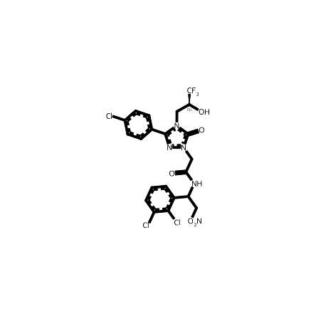 O=C(Cn1nc(-c2ccc(Cl)cc2)n(C[C@H](O)C(F)(F)F)c1=O)NC(C[N+](=O)[O-])c1cccc(Cl)c1Cl